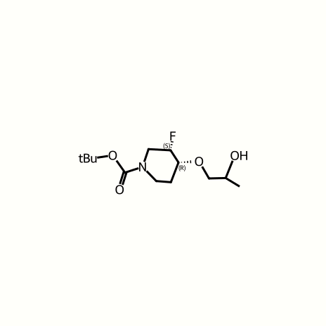 CC(O)CO[C@@H]1CCN(C(=O)OC(C)(C)C)C[C@@H]1F